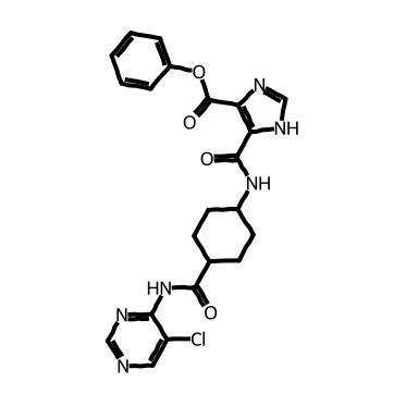 O=C(Oc1ccccc1)c1nc[nH]c1C(=O)NC1CCC(C(=O)Nc2ncncc2Cl)CC1